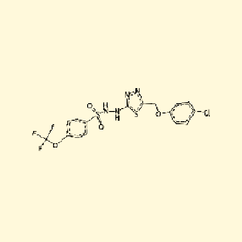 O=S(=O)(NNc1nnc(COc2ccc(Cl)cc2)s1)c1ccc(OC(F)(F)F)cc1